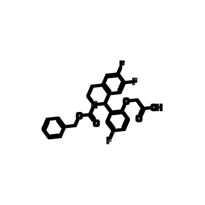 O=C(O)COc1ccc(F)cc1C1c2cc(F)c(F)cc2CCN1C(=O)OCc1ccccc1